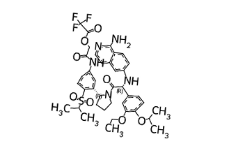 CCOc1cc([C@@H](Nc2ccc3c(N)nccc3c2)C(=O)N2CCC[C@@H]2c2cc(NC(=O)COC(=O)C(F)(F)F)ccc2S(=O)(=O)C(C)C)ccc1OC(C)C